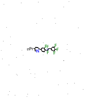 CCCc1ccc(-c2ccc(/C(F)=C(\F)c3cc(F)c(F)c(F)c3)c(F)c2)nc1